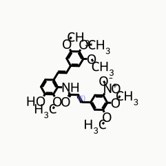 COc1cc(C=Cc2ccc(O)c(OC)c2NC(=O)/C=C/c2cc(OC)c(OC)c([N+](=O)[O-])c2)cc(OC)c1OC